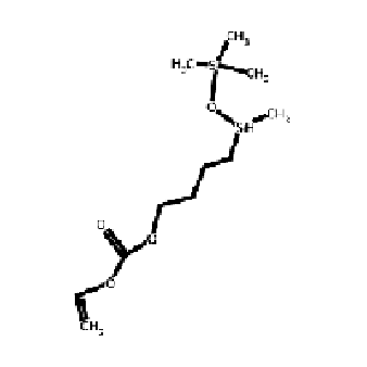 C=COC(=O)OCCCC[SiH](C)O[Si](C)(C)C